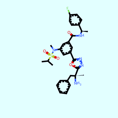 CC(C)S(=O)(=O)N(C)c1cc(C(=O)N[C@H](C)c2ccc(F)cc2)cc(-c2nnc([C@@](C)(N)Cc3ccccc3)o2)c1